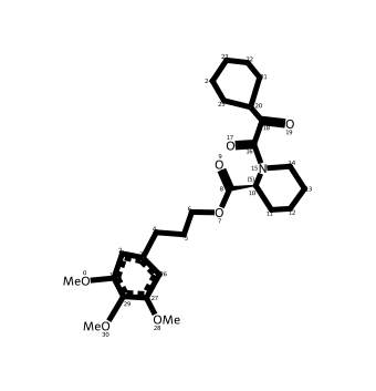 COc1cc(CCCOC(=O)[C@@H]2CCCCN2C(=O)C(=O)C2CCCCC2)cc(OC)c1OC